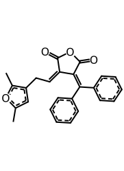 Cc1cc(C/C=C2\C(=O)OC(=O)C2=C(c2ccccc2)c2ccccc2)c(C)o1